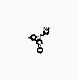 Cc1ccc2c(c1)c1c(n2CCc2ccc(C)nc2)CCN(C2CCCCC2)C1